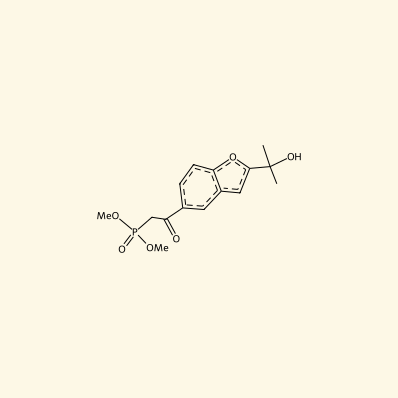 COP(=O)(CC(=O)c1ccc2oc(C(C)(C)O)cc2c1)OC